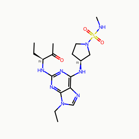 CC[C@H](Nc1nc(N[C@H]2CCN(S(=O)(=O)NC)C2)c2ncn(CC)c2n1)C(C)=O